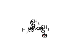 COC(=O)c1cc(OC)ccc1Nc1ccc(N(C)c2ccc(C34CC5CC(CC(C5)C3)C4)cc2)cc1